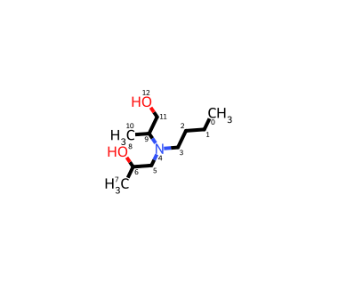 CCCCN(CC(C)O)C(C)CO